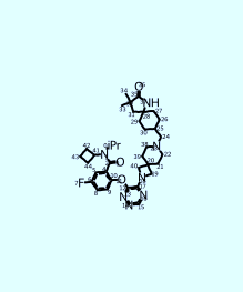 CC(C)N(C(=O)c1cc(F)ccc1Oc1nncnc1N1CC2(CCN(CC3CCC4(CC3)CC(C)(C)C(=O)N4)CC2)C1)C1CCC1